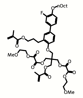 C=C(C)C(=O)OCCCc1cc(-c2ccc(OCCCCCCCC)c(F)c2)ccc1OCC(COC(=O)C(=C)C)(COC(=O)C(=O)OCCOC)COC(=O)C(=O)OCCOC